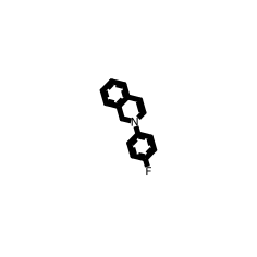 Fc1ccc(N2C=Cc3ccccc3C2)cc1